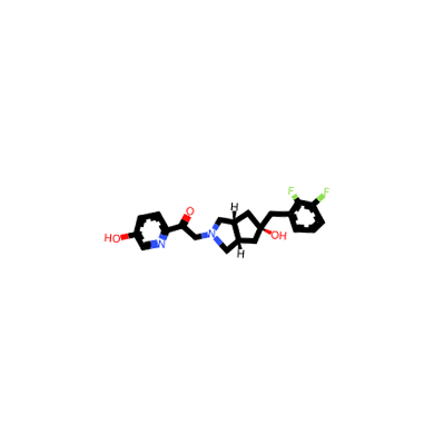 O=C(CN1C[C@@H]2C[C@](O)(Cc3cccc(F)c3F)C[C@@H]2C1)c1ccc(O)cn1